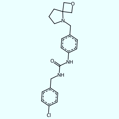 O=C(NCc1ccc(Cl)cc1)Nc1ccc(CN2CCCC23COC3)cc1